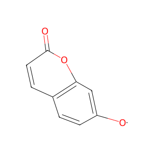 [O]c1ccc2ccc(=O)oc2c1